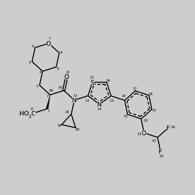 O=C(O)C[C@@H](CC1CCOCC1)C(=O)N(c1nc(-c2cccc(OC(F)F)c2)cs1)C1CC1